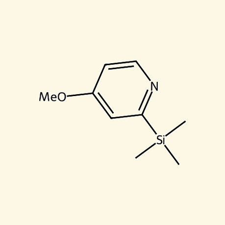 COc1ccnc([Si](C)(C)C)c1